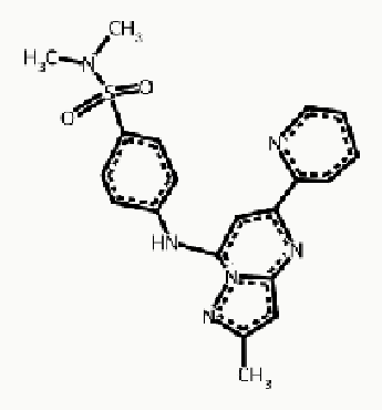 Cc1cc2nc(-c3ccccn3)cc(Nc3ccc(S(=O)(=O)N(C)C)cc3)n2n1